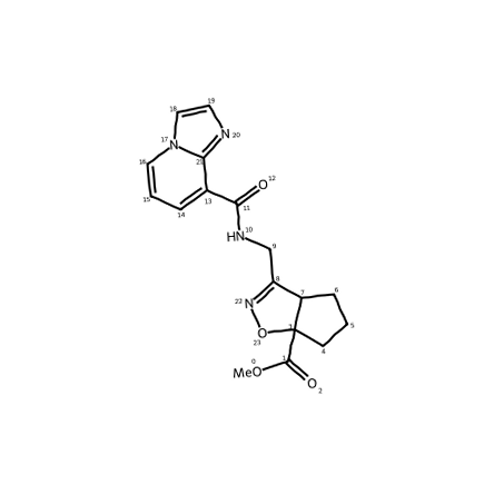 COC(=O)C12CCCC1C(CNC(=O)c1cccn3ccnc13)=NO2